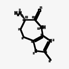 Cc1nc2c(s1)CC[C@H](N)C(=O)N2